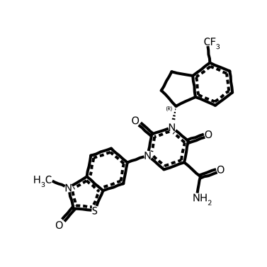 Cn1c(=O)sc2cc(-n3cc(C(N)=O)c(=O)n([C@@H]4CCc5c4cccc5C(F)(F)F)c3=O)ccc21